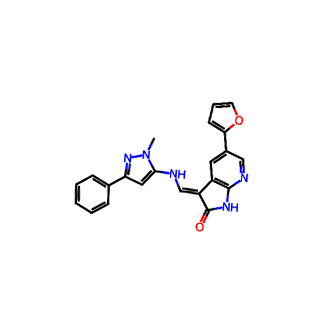 Cn1nc(-c2ccccc2)cc1N/C=C1/C(=O)Nc2ncc(-c3ccco3)cc21